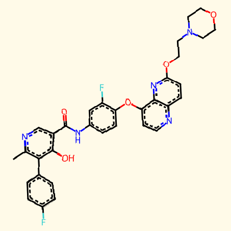 Cc1ncc(C(=O)Nc2ccc(Oc3ccnc4ccc(OCCN5CCOCC5)nc34)c(F)c2)c(O)c1-c1ccc(F)cc1